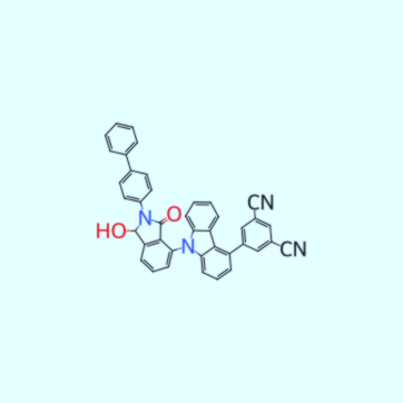 N#Cc1cc(C#N)cc(-c2cccc3c2c2ccccc2n3-c2cccc3c2C(=O)N(c2ccc(-c4ccccc4)cc2)C3O)c1